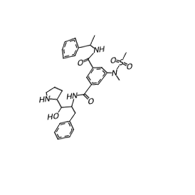 CC(NC(=O)c1cc(C(=O)NC(Cc2ccccc2)C(O)C2CCCN2)cc(N(C)S(C)(=O)=O)c1)c1ccccc1